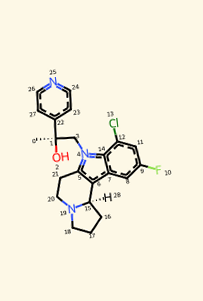 C[C@@](O)(Cn1c2c(c3cc(F)cc(Cl)c31)[C@H]1CCCN1CC2)c1ccncc1